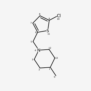 CC1CCN(Cc2ccc(Cl)s2)CC1